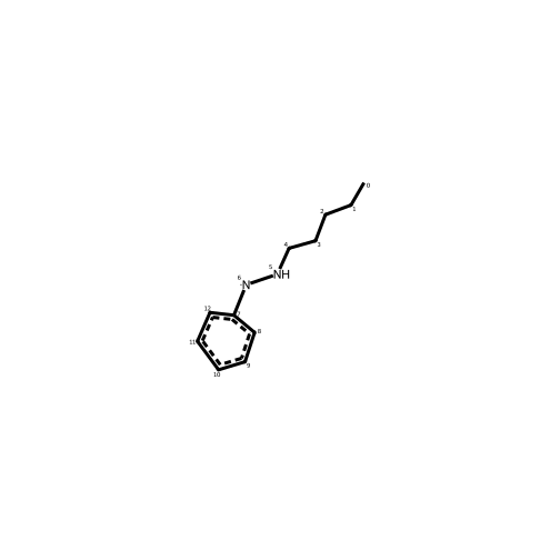 CCCCCN[N]c1ccccc1